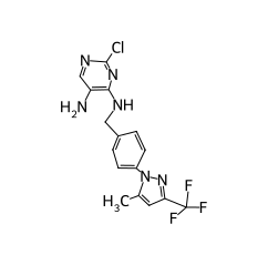 Cc1cc(C(F)(F)F)nn1-c1ccc(CNc2nc(Cl)ncc2N)cc1